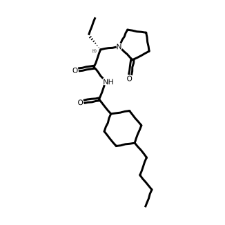 CCCCC1CCC(C(=O)NC(=O)[C@H](CC)N2CCCC2=O)CC1